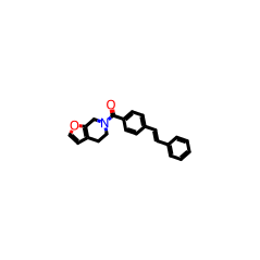 O=C(c1ccc(C=Cc2ccccc2)cc1)N1CCc2ccoc2C1